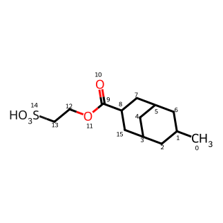 CC1CC2CC(C1)CC(C(=O)OCCS(=O)(=O)O)C2